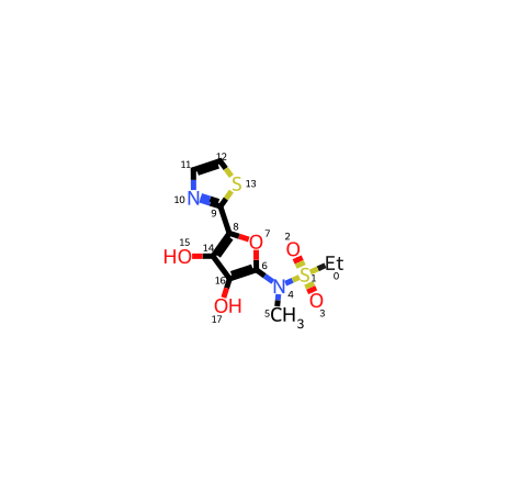 CCS(=O)(=O)N(C)c1oc(-c2nccs2)c(O)c1O